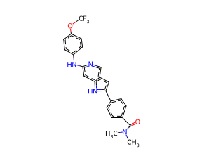 CN(C)C(=O)c1ccc(-c2cc3cnc(Nc4ccc(OC(F)(F)F)cc4)cc3[nH]2)cc1